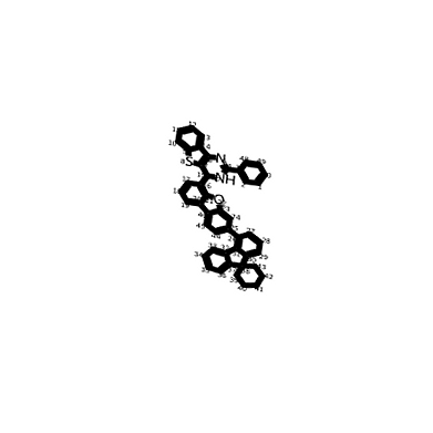 c1ccc(C2=Nc3c(sc4ccccc34)C(c3cccc4c3oc3cc(-c5cccc6c5-c5ccccc5C65CCCCC5)ccc34)N2)cc1